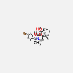 C[C@@H](c1ccc(Br)cc1)N1CC[C@](CC(C)(C)O)(C2CC2)OC1=O